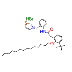 Br.CCCCCCCCCCCCCCOc1c(CC(=O)Nc2ccccc2CN2C=CSC2)cccc1C(C)(C)C